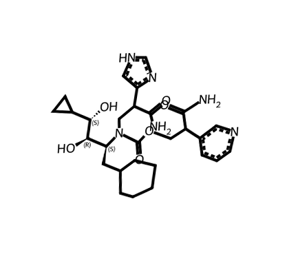 NC(=O)C(COC(=O)N(CC(C(N)=O)c1c[nH]cn1)[C@@H](CC1CCCCC1)[C@@H](O)[C@@H](O)C1CC1)c1cccnc1